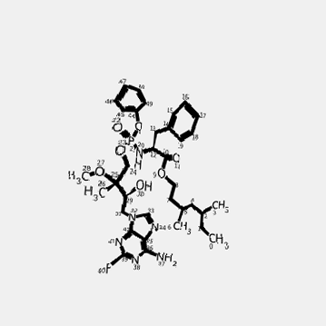 CCC(C)CC(C)CCOC(=O)[C@H](Cc1ccccc1)NP(=O)(OC[C@@](C)(OC)[C@@H](O)Cn1cnc2c(N)nc(F)nc21)Oc1ccccc1